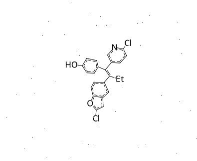 CC/C(=C(/c1ccc(O)cc1)c1ccc(Cl)nc1)c1ccc2oc(Cl)cc2c1